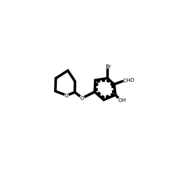 O=Cc1c(O)cc(OC2CCCCO2)cc1Br